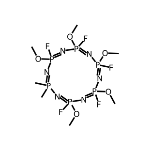 COP1(F)=NP(C)(C)=NP(F)(OC)=NP(F)(OC)=NP(F)(OC)=NP(F)(OC)=N1